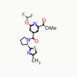 COC(=O)c1cc(C(=O)N2CCC[C@@H]2c2nc(C)cs2)cc(OC(F)F)n1